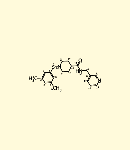 Cc1cc(C)cc(SN2CCC(C(=O)NCc3cccnc3)CC2)c1